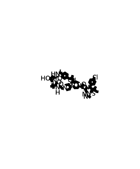 Cc1ncsc1-c1ccc([C@H](C)NC(=O)[C@@H]2C[C@@H](O)CN2C(=O)C(NC(=O)CN2CCC(N3CCCN(C(=O)C[C@@H]4N=C(c5ccc(Cl)cc5)c5c(sc(C)c5C)-n5c(C)nnc54)CC3)CC2)C(C)(C)C)cc1